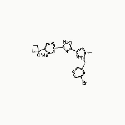 COC1(c2ccc(-c3noc(-c4cc(C)n(Cc5cccc(Br)c5)n4)n3)cc2)CCC1